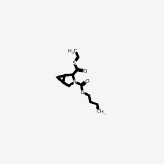 CCCCOC(=O)N1CC2CC2C1C(=O)SCC